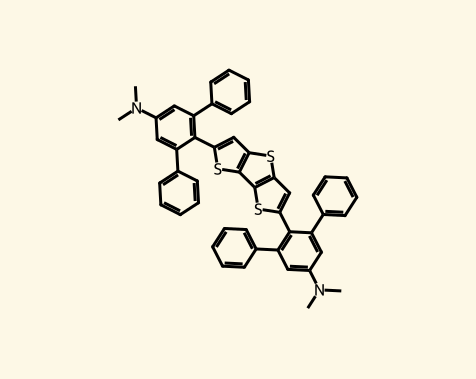 CN(C)c1cc(-c2ccccc2)c(-c2cc3sc4cc(-c5c(-c6ccccc6)cc(N(C)C)cc5-c5ccccc5)sc4c3s2)c(-c2ccccc2)c1